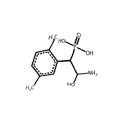 Cc1ccc(C)c(C(C(N)O)P(=O)(O)O)c1